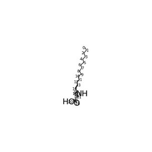 CCCCCCCCCCCCCC=Cc1cc(C(=O)O)c[nH]1